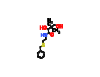 CC(C)(CO)C(O)C(=O)NCCSCc1ccccc1